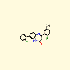 N#Cc1ccc(F)c(C2=Nc3ccc(-c4ccccc4F)cc3NC(=O)C2)c1